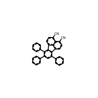 N#Cc1ccc2c3c(ccc(C#N)c13)-c1c(-c3ccccc3)c(-c3ccccc3)cc(-c3ccccc3)c1-2